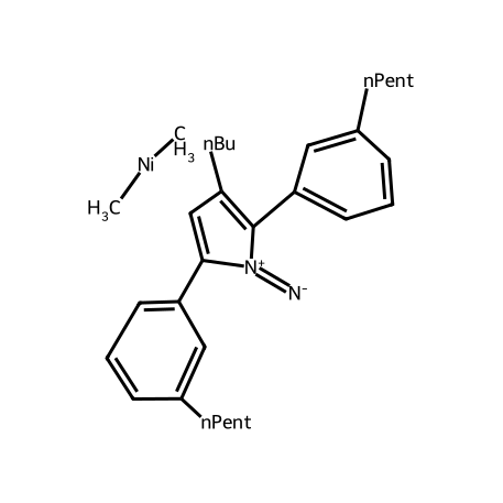 CCCCCc1cccc(C2=CC(CCCC)=C(c3cccc(CCCCC)c3)[N+]2=[N-])c1.[CH3][Ni][CH3]